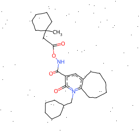 CC1(CC(=O)ONC(=O)c2cc3c(n(CC4CCCCC4)c2=O)CCCCCC3)CCCCC1